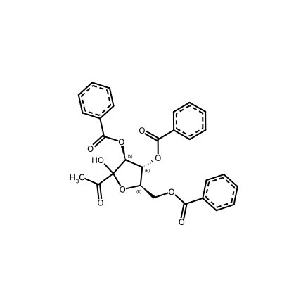 CC(=O)C1(O)O[C@H](COC(=O)c2ccccc2)[C@@H](OC(=O)c2ccccc2)[C@@H]1OC(=O)c1ccccc1